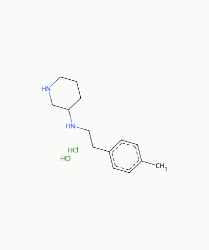 Cc1ccc(CCNC2CCCNC2)cc1.Cl.Cl